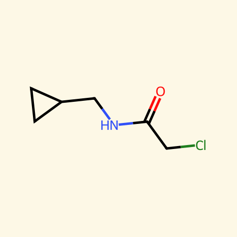 O=C(CCl)NCC1CC1